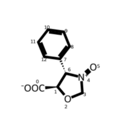 O=C([O-])[C@@H]1OC[N+](=O)[C@H]1c1ccccc1